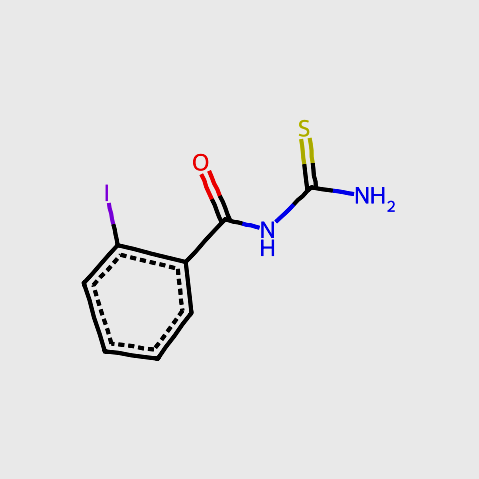 NC(=S)NC(=O)c1ccccc1I